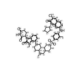 Cc1cc(S(=O)(=O)N2CCC(CN(C)C3CCN(c4cccc5c4n(C)c(=O)n5C4CCC(=O)NC4=O)CC3)CC2)ccc1Nc1ncc2cc(Cl)c(=O)n(C3CCCC3)c2n1